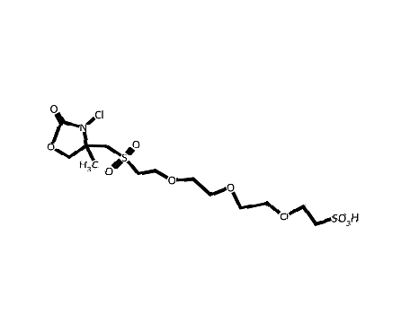 CC1(CS(=O)(=O)CCOCCOCCOCCS(=O)(=O)O)COC(=O)N1Cl